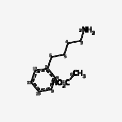 CC(=O)O.NCCCCc1ccccc1